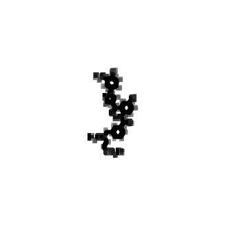 CCOC(=O)CCN(C)Cc1cccc(C(=O)Nc2ccc(Cl)cc2C(=O)c2cnn(-c3ccc(Cl)c(C(F)(F)F)c3)c2)c1